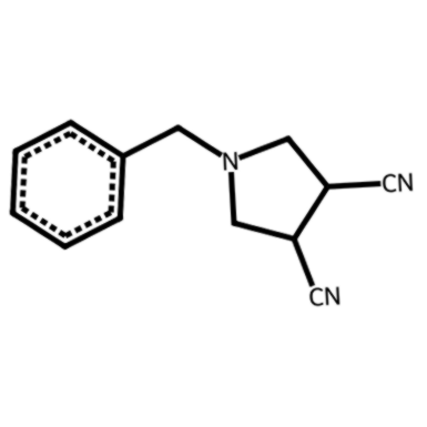 N#CC1CN(Cc2ccccc2)CC1C#N